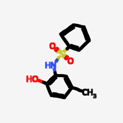 Cc1ccc(O)c(NS(=O)(=O)c2ccccc2)c1